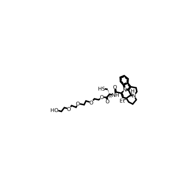 CC[C@@]12C=C(C(=O)N[C@@H](CS)C(=O)OCCOCCOCCOCCO)n3c4c(c5ccccc53)CCN(CCC1)[C@H]42